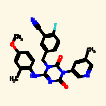 COc1ccc(Nc2nc(=O)n(-c3cncc(C)c3)c(=O)n2Cc2ccc(F)c(C#N)c2)c(C)c1